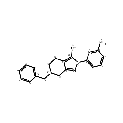 Nc1cccc(-n2nc3c(c2O)CCN(Cc2ccccc2)C3)n1